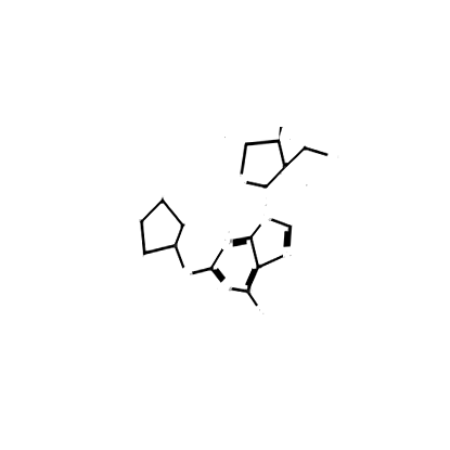 C[C@H]1O[C@@H](n2cnc3c(N)nc(OC4CCCC4)nc32)[C@](O)(CO)[C@@H]1O